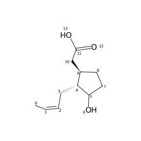 C/C=C\C[C@H]1C(O)CC[C@@H]1CC(=O)O